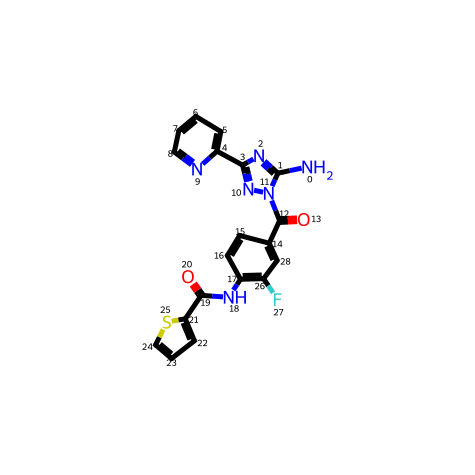 Nc1nc(-c2ccccn2)nn1C(=O)c1ccc(NC(=O)c2cccs2)c(F)c1